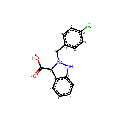 O=C(O)C1c2ccccc2NN1Cc1ccc(Cl)cc1